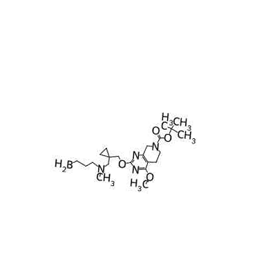 BCCCN(C)CC1(COc2nc3c(c(OC)n2)CCN(C(=O)OC(C)(C)C)C3)CC1